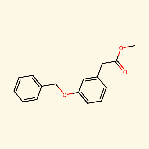 COC(=O)Cc1cccc(OCc2ccccc2)c1